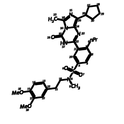 CCCc1ccc(S(=O)(=O)N(C)CCc2ccc(OC)c(OC)c2)cc1-c1nc2c(C3CCCC3)nc(C)n2c(=O)[nH]1